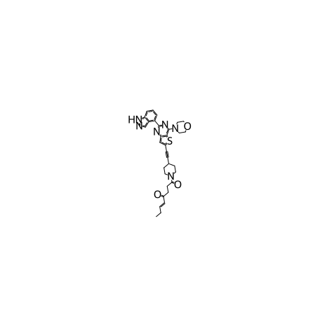 CC/C=C/C(=O)CCC(=O)N1CCC(C#Cc2cc3nc(-c4cccc5[nH]ncc45)nc(N4CCOCC4)c3s2)CC1